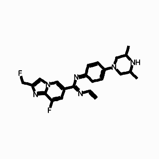 C=C/N=C(\N=C1\C=CC(N2CC(C)NC(C)C2)=CC1)c1cc(F)c2nc(CF)cn2c1